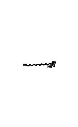 O=P(O)(O)CCCCCCCCCCCCO